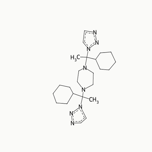 CC(C1CCCCC1)(N1CCN(C(C)(C2CCCCC2)n2ccnn2)CC1)n1ccnn1